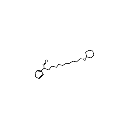 O=[C]C(CCCCCCCCCCOC1CC[CH]CC1)c1ccccc1